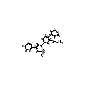 CC1(C)c2ccccc2-c2ccc(-c3cc(-c4ccccc4)cc(Cl)n3)cc21